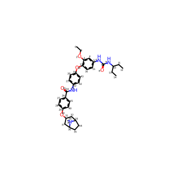 CCOc1cc(NC(=O)NC(CC)CC)ccc1Oc1ccc(NC(=O)c2ccc(OC3CC4CCC(C3)N4C)cc2)cc1